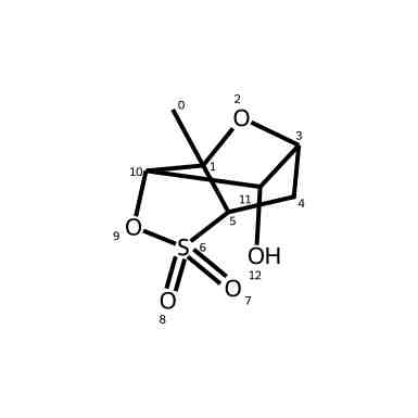 CC12OC3CC1S(=O)(=O)OC2C3O